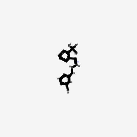 FC(F)(F)c1ccccc1/[C]=N\OCc1cccc(Cl)c1